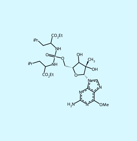 CCOC(=O)C(CC(C)C)NP(=O)(NC(CC(C)C)C(=O)OCC)OC[C@H]1O[C@@H](n2cnc3c(OC)nc(N)nc32)[C@@](C)(O)C1O